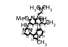 C=CC(=O)Nc1cc(Nc2nccc(-c3cc(C)n4ccccc34)n2)c(OC)nc1N(C)CCN(C)C